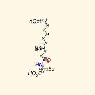 CCCCCCCC/C=C\CCCCCCCC(=O)NC(C(=O)O)C(C)CC.[NaH]